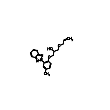 C=CCOCC(O)COc1ccc(C)cc1-n1nc2ccccc2n1